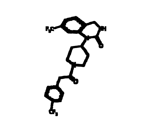 O=C(Cc1ccc(C(F)(F)F)cc1)N1CCC(N2C(=O)NCc3ccc(C(F)(F)F)cc32)CC1